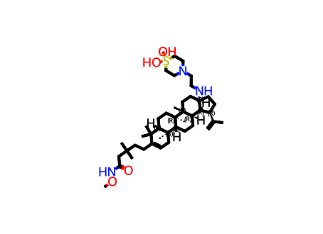 C=C(C)[C@@H]1CC[C@]2(NCCN3CCS(O)(O)CC3)CC[C@]3(C)[C@H](CC[C@@H]4[C@@]5(C)CC=C(CCC(C)(C)CC(=O)NOC)C(C)(C)[C@@H]5CC[C@]43C)[C@@H]12